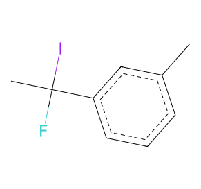 Cc1cccc(C(C)(F)I)c1